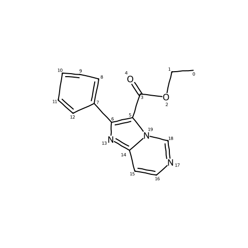 CCOC(=O)c1c(-c2ccccc2)nc2ccncn12